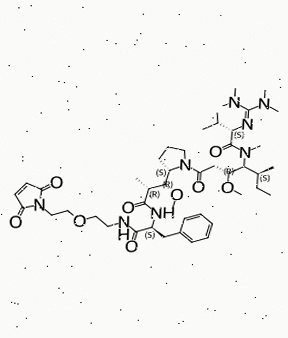 CC[C@H](C)C([C@@H](CC(=O)N1CCC[C@H]1[C@H](OC)[C@@H](C)C(=O)N[C@@H](Cc1ccccc1)C(=O)NCCOCCN1C(=O)C=CC1=O)OC)N(C)C(=O)[C@@H](N=C(N(C)C)N(C)C)C(C)C